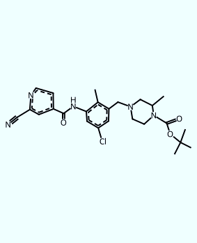 Cc1c(CN2CCN(C(=O)OC(C)(C)C)C(C)C2)cc(Cl)cc1NC(=O)c1ccnc(C#N)c1